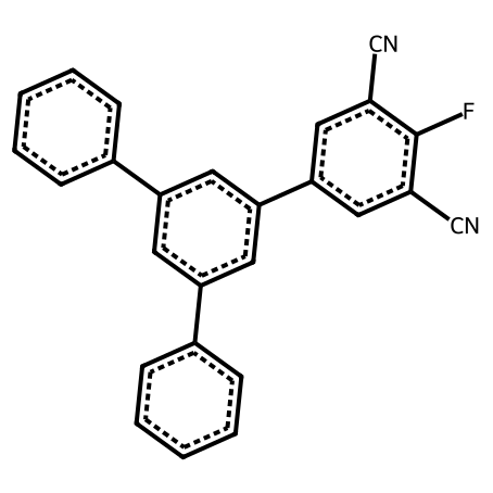 N#Cc1cc(-c2cc(-c3ccccc3)cc(-c3ccccc3)c2)cc(C#N)c1F